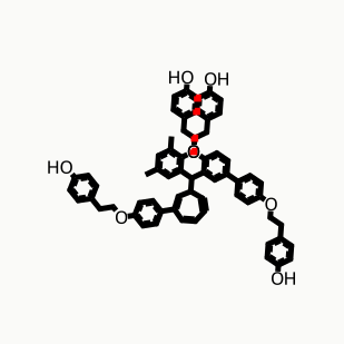 Cc1cc(C)c(OCCc2ccc(O)cc2)c(C(c2cc(-c3ccc(OCCc4ccc(O)cc4)cc3)ccc2OCCc2ccc(O)cc2)C2C#CC=CC(c3ccc(OCCc4ccc(O)cc4)cc3)=C2)c1